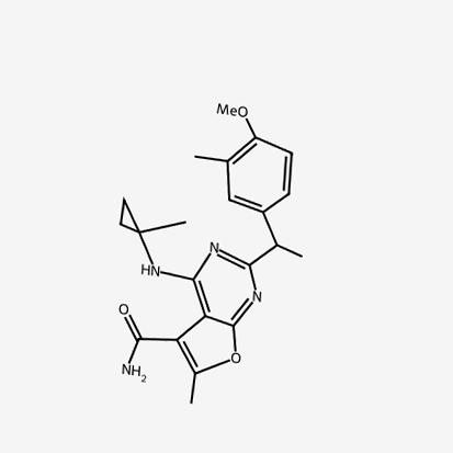 COc1ccc(C(C)c2nc(NC3(C)CC3)c3c(C(N)=O)c(C)oc3n2)cc1C